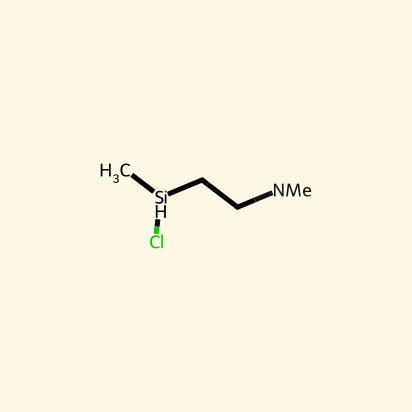 CNCC[SiH](C)Cl